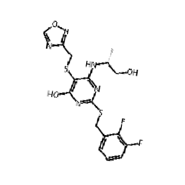 C[C@H](CO)Nc1nc(SCc2cccc(F)c2F)nc(O)c1SCc1ncon1